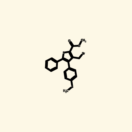 COC(=O)c1sc(-c2ccccc2)c(-c2ccc(SC)cc2)c1CBr